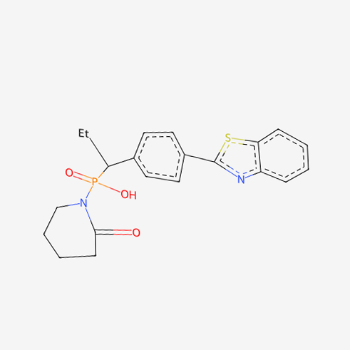 CCC(c1ccc(-c2nc3ccccc3s2)cc1)P(=O)(O)N1CCCCC1=O